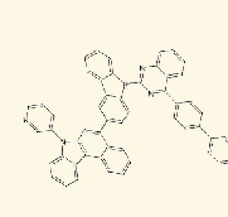 c1ccc(-c2ccc(-c3nc(-n4c5ccccc5c5cc(-c6cc7c(c8ccccc68)c6ccccc6n7-c6cccnc6)ccc54)nc4ccccc34)cc2)cc1